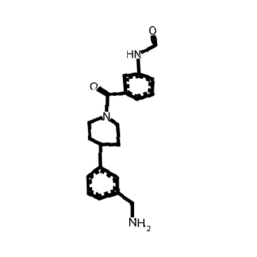 NCc1cccc(C2CCN(C(=O)c3cccc(NC=O)c3)CC2)c1